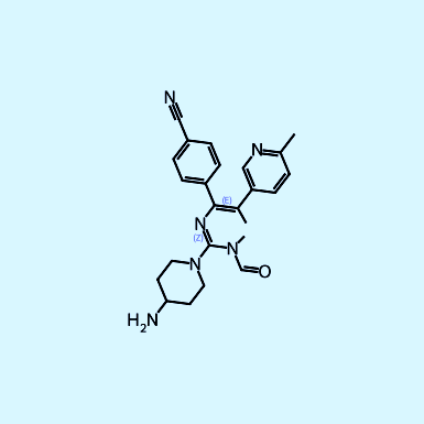 C/C(=C(\N=C(/N(C)C=O)N1CCC(N)CC1)c1ccc(C#N)cc1)c1ccc(C)nc1